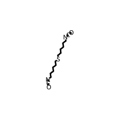 O=C=NCCCCCCSCCCCCCN=C=O